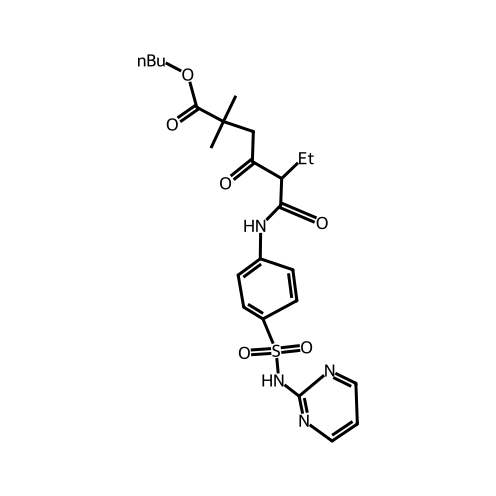 CCCCOC(=O)C(C)(C)CC(=O)C(CC)C(=O)Nc1ccc(S(=O)(=O)Nc2ncccn2)cc1